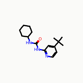 CC(C)(C)c1ccnc(NC(=O)NC2CCCCC2)c1